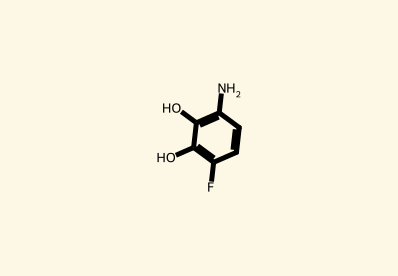 Nc1ccc(F)c(O)c1O